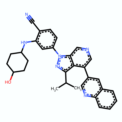 CC(C)c1nn(-c2ccc(C#N)c(NC3CCC(O)CC3)c2)c2cncc(-c3cnc4ccccc4c3)c12